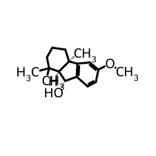 COc1ccc2c(c1)[C@]1(C)CCCC(C)(C)[C@@H]1[C@H]2O